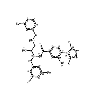 CCc1cccc(CNC[C@H](O)[C@H](Cc2cc(F)cc(F)c2)NC(=O)c2ccc(-n3c(C)ccc3C)c(O)c2)c1